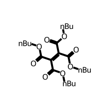 CCCCOC(=O)C(C(=O)OCCCC)=C(C(=O)OCCCC)C(=O)OCCCC